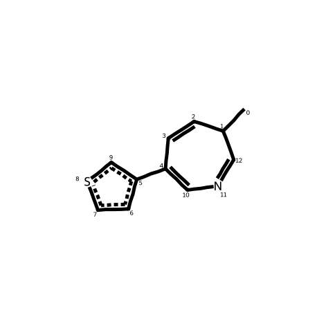 CC1C=CC(c2ccsc2)=CN=C1